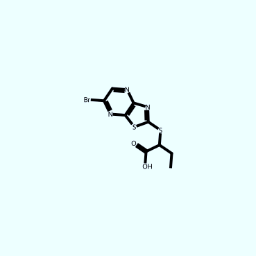 CCC(Sc1nc2ncc(Br)nc2s1)C(=O)O